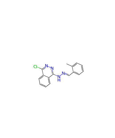 Cc1ccccc1C=NNc1nnc(Cl)c2ccccc12